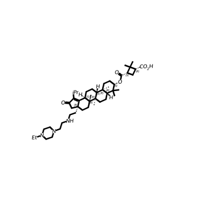 CCN1CCN(CCNCC[C@@]23CC[C@]4(C)[C@H](CC[C@@H]5[C@@]6(C)CC[C@H](OC(=O)[C@H]7C[C@@H](C(=O)O)C7(C)C)C(C)(C)[C@@H]6CC[C@]54C)C2=C(C(C)C)C(=O)C3)CC1